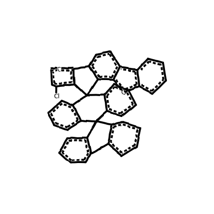 Clc1cccc2c1C1(c3ccccc3C3(c4ccccc4-c4ccccc43)c3ccccc31)c1c-2ccc2c1oc1ccccc12